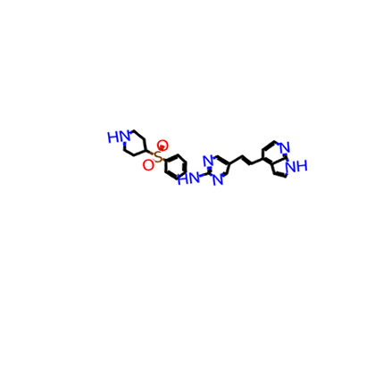 O=S(=O)(c1ccc(Nc2ncc(C=Cc3ccnc4[nH]ccc34)cn2)cc1)C1CCNCC1